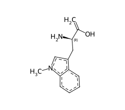 C=C(O)[C@H](N)Cc1cn(C)c2ccccc12